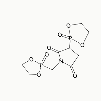 O=C1CC(P2(=O)OCCO2)C(=O)N1CP1(=O)OCCO1